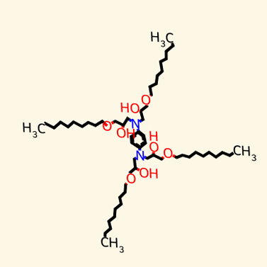 CCCCCCCCCCOCC(O)CN(CC(O)COCCCCCCCCCC)c1ccc(N(CC(O)COCCCCCCCCCC)CC(O)COCCCCCCCCCC)cc1